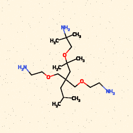 CC(C)CC(COCCN)(COCCN)CC(C)(C)OCC(C)(C)N